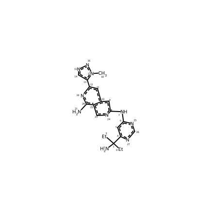 CCC(N)(CC)c1cc(Nc2cc3cc(-c4cnnn4C)nc(N)c3cn2)ncn1